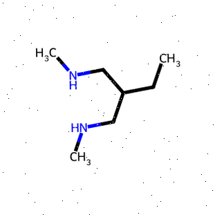 CCC(CNC)CNC